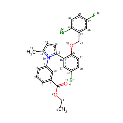 CCOC(=O)c1cccc(-n2c(C)ccc2-c2cc(Br)ccc2OCc2cc(F)ccc2Br)c1